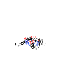 CCC(C)C([C@@H](CC(=O)N1C[C@@H](O)C[C@H]1[C@H](OC)[C@@H](C)C(=O)NCC(N)c1ccc(C)cc1)OC)N(C)C(=O)[C@@H](NC(=O)[C@H](C(C)C)N(C)C)C(C)C